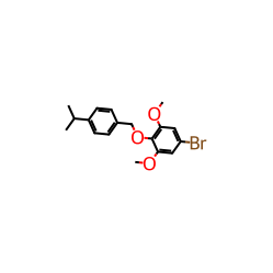 COc1cc(Br)cc(OC)c1OCc1ccc(C(C)C)cc1